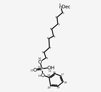 CCCCCCCCCCCCCCCCCCCOP(=O)(O)Oc1ccccc1